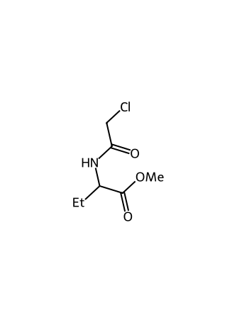 CCC(NC(=O)CCl)C(=O)OC